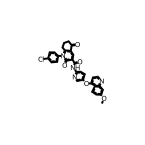 COc1ccc2c(Oc3ccc(NC(=O)c4cc5c(n(-c6ccc(Cl)cc6)c4=O)CCCC5=O)nc3)ccnc2c1